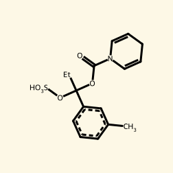 CCC(OC(=O)N1C=CCC=C1)(OS(=O)(=O)O)c1cccc(C)c1